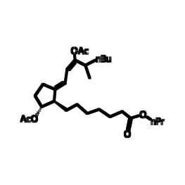 CCCCC(C)C(=CC=C1CC[C@@H](OC(C)=O)[C@@H]1CCCCCCC(=O)OCCC)OC(C)=O